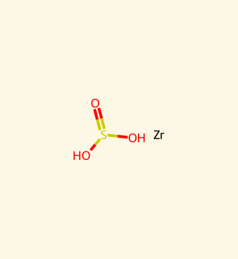 O=S(O)O.[Zr]